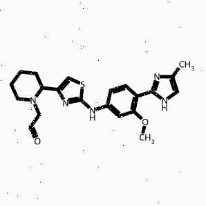 COc1cc(Nc2nc(C3CCCCN3CC=O)cs2)ccc1-c1nc(C)c[nH]1